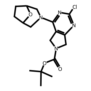 CC(C)(C)OC(=O)N1Cc2nc(Cl)nc(N3CC4CCC(C3)O4)c2C1